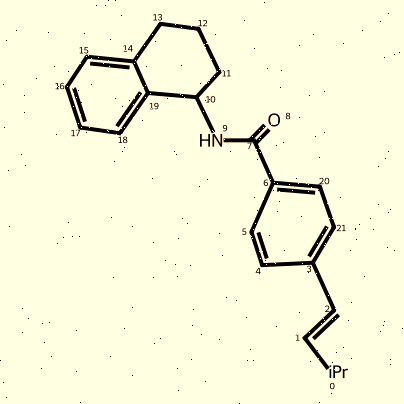 CC(C)C=Cc1ccc(C(=O)NC2CCCc3ccccc32)cc1